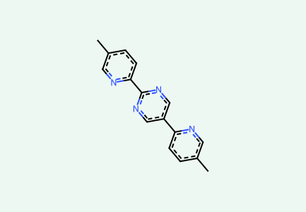 Cc1ccc(-c2cnc(-c3ccc(C)cn3)nc2)nc1